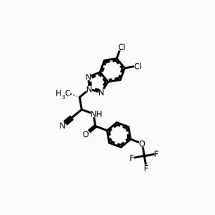 C[C@@H](C(C#N)NC(=O)c1ccc(OC(F)(F)F)cc1)n1nc2cc(Cl)c(Cl)cc2n1